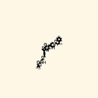 C[C@H](CC(=O)N1CCC(O)(Cn2cnc3c(C#CCOCCNC(=O)OC(C)(C)C)csc3c2=O)CC1)c1ccccc1